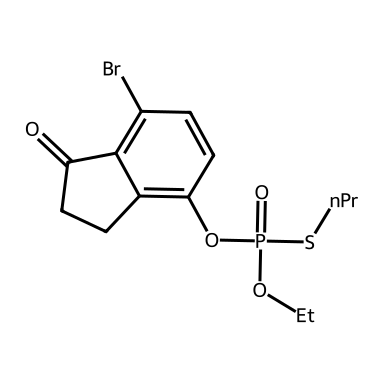 CCCSP(=O)(OCC)Oc1ccc(Br)c2c1CCC2=O